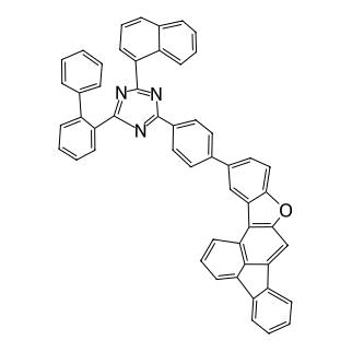 c1ccc(-c2ccccc2-c2nc(-c3ccc(-c4ccc5oc6cc7c8c(cccc8c6c5c4)-c4ccccc4-7)cc3)nc(-c3cccc4ccccc34)n2)cc1